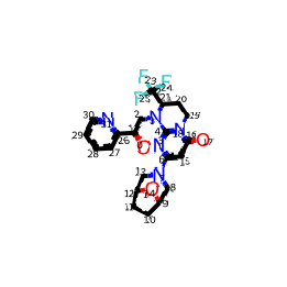 O=C(CN1c2nc(N3CC4CCC(C3)O4)cc(=O)n2CCC1C(F)(F)F)c1ccccn1